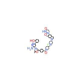 Cc1cc2c(ccn2C2CCN(CC3(F)CCN(C(=O)c4ccc([C@@H]5CN(c6cc(-c7ccccc7O)nnc6N)C[C@H](C)O5)cc4)CC3)CC2)cc1N1CCC(=O)NC1=O